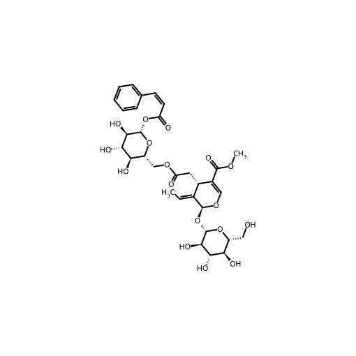 C/C=C1/[C@H](O[C@@H]2O[C@H](CO)[C@@H](O)[C@H](O)[C@H]2O)OC=C(C(=O)OC)[C@H]1CC(=O)OC[C@H]1O[C@@H](OC(=O)/C=C\c2ccccc2)[C@H](O)[C@@H](O)[C@@H]1O